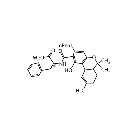 CCCCCc1cc2c(c(O)c1C(=O)N[C@@H](Cc1ccccc1)C(=O)OC)C1C=C(C)CCC1C(C)(C)O2